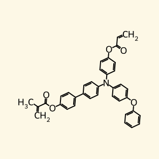 C=CC(=O)Oc1ccc(N(c2ccc(Oc3ccccc3)cc2)c2ccc(-c3ccc(OC(=O)C(=C)C)cc3)cc2)cc1